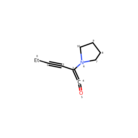 [CH2]CC#CC(=C=O)N1CCCC1